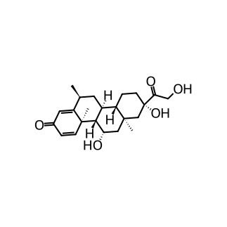 C[C@H]1C[C@@H]2[C@H]([C@@H](O)C[C@]3(C)C[C@](O)(C(=O)CO)CC[C@@H]23)[C@@]2(C)C=CC(=O)C=C12